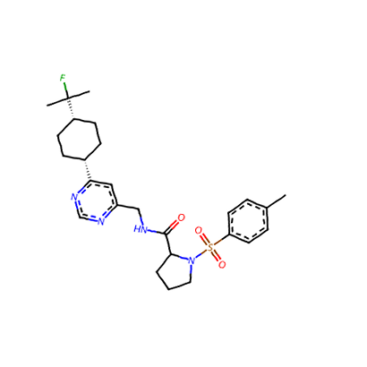 Cc1ccc(S(=O)(=O)N2CCCC2C(=O)NCc2cc([C@H]3CC[C@@H](C(C)(C)F)CC3)ncn2)cc1